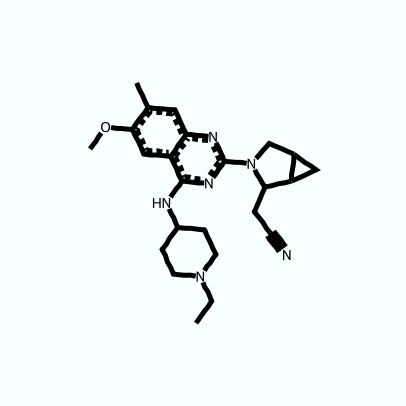 CCN1CCC(Nc2nc(N3CC4CC4C3CC#N)nc3cc(C)c(OC)cc23)CC1